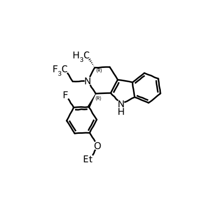 [CH2]COc1ccc(F)c([C@@H]2c3[nH]c4ccccc4c3C[C@@H](C)N2CC(F)(F)F)c1